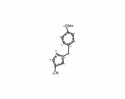 COc1ccc(Cn2cc(C#N)cn2)cc1